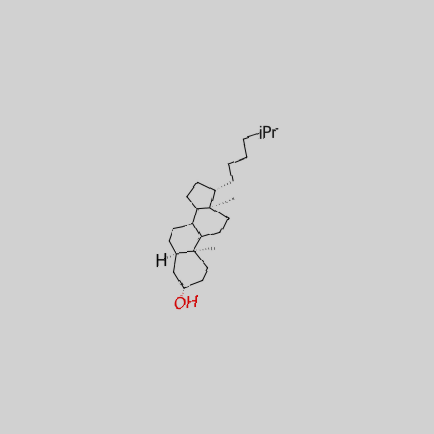 CC(C)CCCC[C@H]1CCC2C3CC[C@@H]4C[C@@H](O)CC[C@]4(C)C3CC[C@@]21C